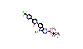 Cn1c2c(c3ccc(-n4ccc(-c5ccc(C(F)(F)F)nc5)cc4=O)cc31)CN(C(=O)OC(C)(C)C)CC2